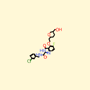 O=C(NCc1cccc(Cl)c1)c1nc2ccc(F)c(OCCC3CCC(CO)CO3)c2c(=O)[nH]1